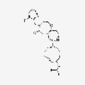 O=C1CC2=C(CC=NC(/C3=C/CC/C=C/C(OC(F)F)C=CC3)=C2)OCCN1Cc1ncccc1F